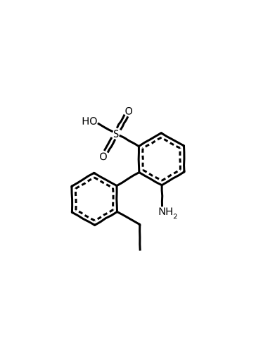 CCc1ccccc1-c1c(N)cccc1S(=O)(=O)O